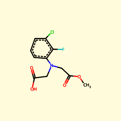 COC(=O)CN(CC(=O)O)c1cccc(Cl)c1F